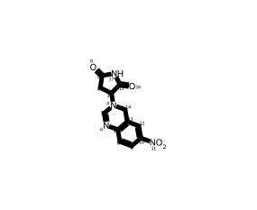 O=C1CC(N2C=Nc3ccc([N+](=O)[O-])cc3C2)C(=O)N1